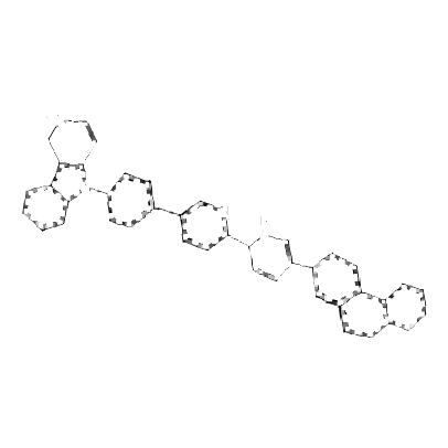 C1=Cc2c(c3ccccc3n2-c2ccc(-c3ccc(C4C=CC(c5ccc6c(ccc7ccccc76)c5)=CN4)nc3)cc2)CN1